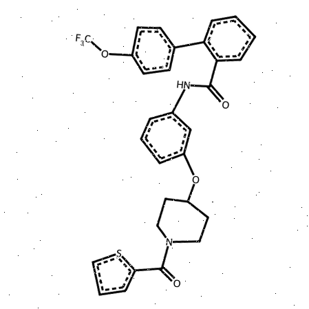 O=C(Nc1cccc(OC2CCN(C(=O)c3cccs3)CC2)c1)c1ccccc1-c1ccc(OC(F)(F)F)cc1